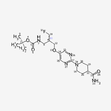 CC(C)(C)OC(=O)NC/C(=C\F)COc1cnc(N2CCC(C(N)=O)CC2)nc1